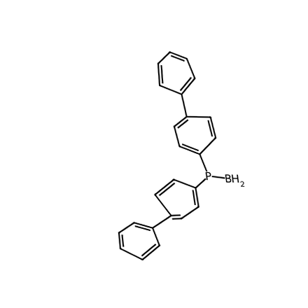 BP(c1ccc(-c2ccccc2)cc1)c1ccc(-c2ccccc2)cc1